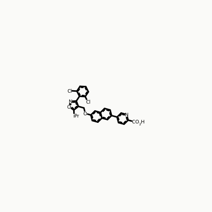 CC(C)c1onc(-c2c(Cl)cccc2Cl)c1COc1ccc2cc(-c3ccc(C(=O)O)nc3)ccc2c1